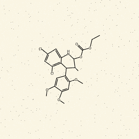 CCOC(=O)OC1Nc2cc(Cl)cc(Cl)c2C(c2cc(OC)c(OC)cc2OC)C1C